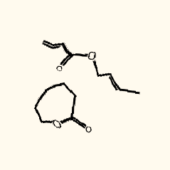 C=CC(=O)OCC=CC.O=C1CCCCCO1